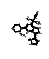 C[C@@H]1COCCN1c1cc(C(C)(C)C#N)c2snc(-c3ccn[nH]3)c2n1